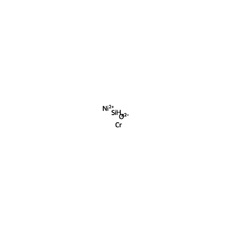 [Cr].[Ni+2].[O-2].[SiH4]